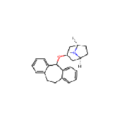 CN1[C@@H]2CC[C@H]1C[C@@H](OC1c3ccccc3CCc3ccccc31)C2